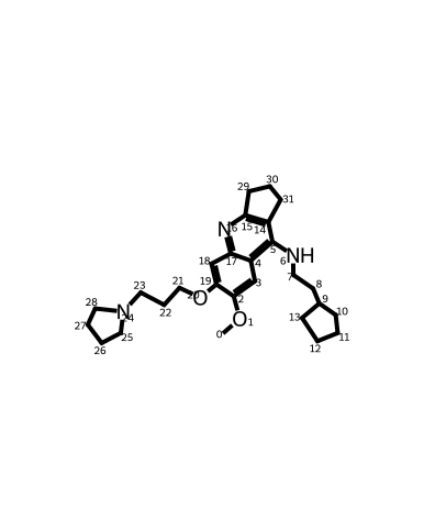 COc1cc2c(NCCC3CCCC3)c3c(nc2cc1OCCCN1CCCC1)CCC3